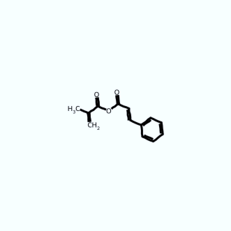 C=C(C)C(=O)OC(=O)C=Cc1ccccc1